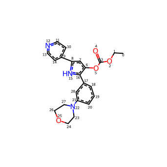 CCOC(=O)Oc1cc(-c2ccncc2)[nH]c1-c1cccc(N2CCOCC2)c1